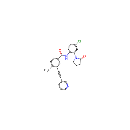 Cc1ccc(C(=O)Nc2ccc(Cl)cc2N2CCCC2=O)cc1C#Cc1cccnc1